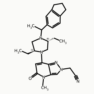 CC[C@H]1CN(C(C)c2ccc3c(c2)CCC3)[C@H](CC)CN1c1cc(=O)n(C)c2cn(CC#N)nc12